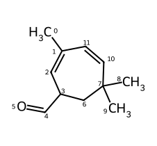 CC1=CC(C=O)CC(C)(C)C=C1